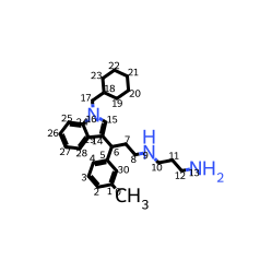 Cc1cccc(C(CCNCCCN)c2cn(CC3CCCCC3)c3ccccc23)c1